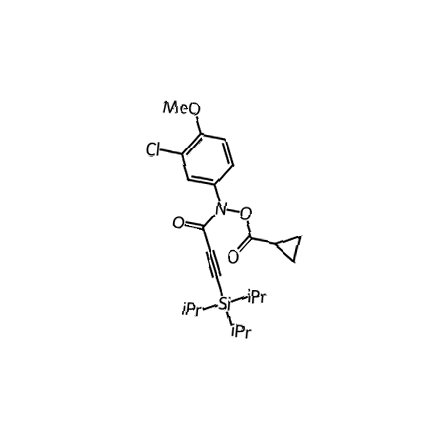 COc1ccc(N(OC(=O)C2CC2)C(=O)C#C[Si](C(C)C)(C(C)C)C(C)C)cc1Cl